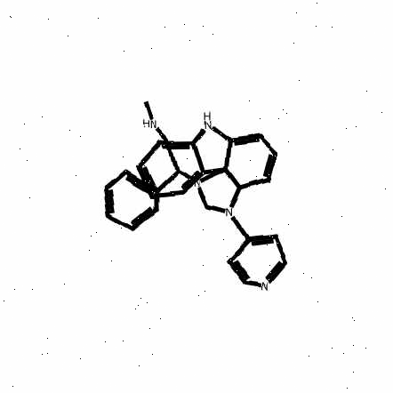 CNCC(c1ccccc1)N1CN(c2ccncc2)C2C=CC=C3Nc4ccccc4C321